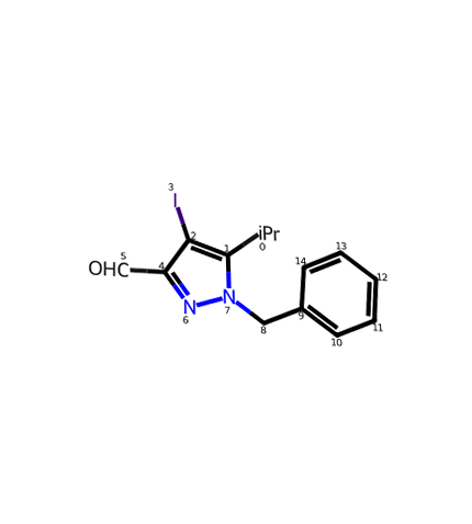 CC(C)c1c(I)c(C=O)nn1Cc1ccccc1